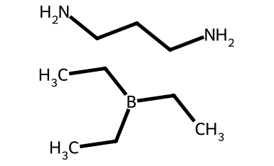 CCB(CC)CC.NCCCN